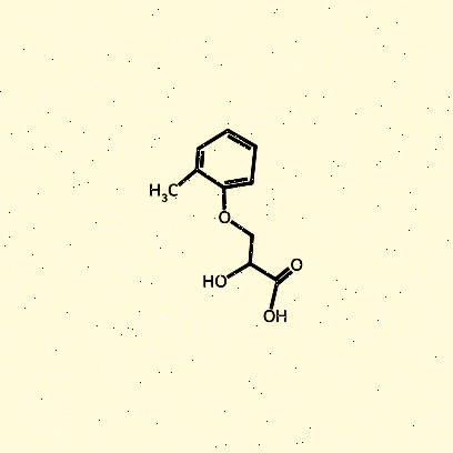 Cc1ccccc1OCC(O)C(=O)O